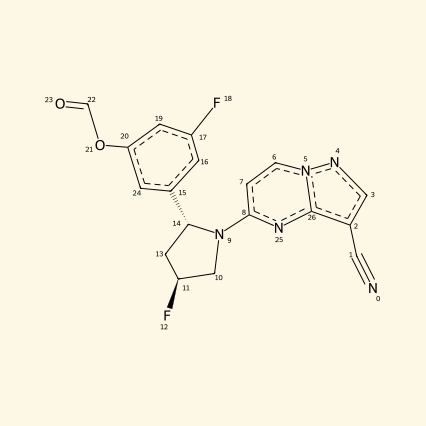 N#Cc1cnn2ccc(N3C[C@@H](F)C[C@@H]3c3cc(F)cc(OC=O)c3)nc12